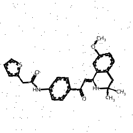 COc1ccc2c(c1)/C(=C/C(=O)c1ccc(NC(=O)Cc3cccs3)cc1)NC(C)(C)C2